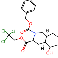 O=C(OCC(Cl)(Cl)Cl)[C@@H]1C[C@@H]2C(O)CCC[C@@H]2CN1C(=O)OCc1ccccc1